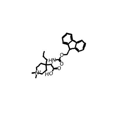 CCCC1([C@H](NC(=O)OCC2c3ccccc3-c3ccccc32)C(=O)O)CC[N+](C)(C)CC1